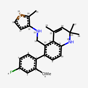 COc1cc(F)ccc1-c1ccc2c(c1CNc1ccsc1C)C(C)=CC(C)(C)N2